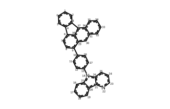 c1ccc2c(c1)-c1ccc(-c3ccc(-n4c5ccccc5c5ncccc54)cc3)c3cc4ccccc4c-2c13